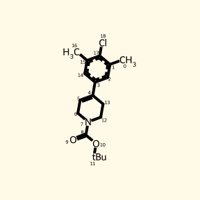 Cc1cc(C2=CCN(C(=O)OC(C)(C)C)CC2)cc(C)c1Cl